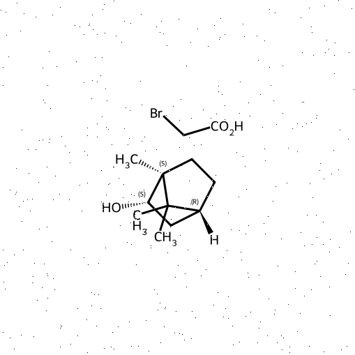 CC1(C)[C@@H]2CC[C@]1(C)[C@@H](O)C2.O=C(O)CBr